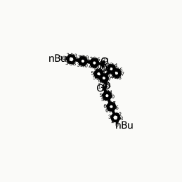 CCCCC1CCC(c2ccc(-c3ccc(C(=O)Oc4cc(-c5c(OC(=O)c6ccc(-c7ccc(C8CCC(CCCC)CC8)cc7)cc6)ccc6ccccc56)c5ccccc5c4)cc3)cc2)CC1